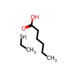 CCCCCC(=O)O.C[CH2][Sn]